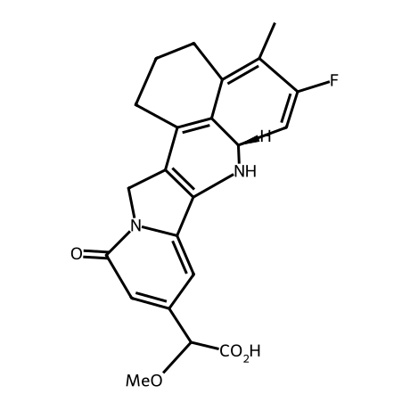 COC(C(=O)O)c1cc2n(c(=O)c1)CC1=C2N[C@H]2C=C(F)C(C)=C3CCCC1=C32